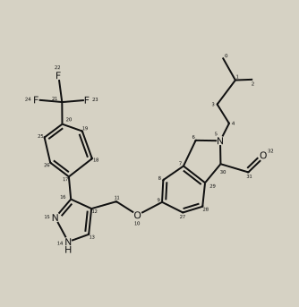 CC(C)CCN1Cc2cc(OCc3c[nH]nc3-c3ccc(C(F)(F)F)cc3)ccc2C1C=O